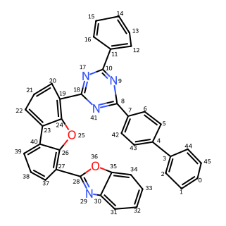 c1ccc(-c2ccc(-c3nc(-c4ccccc4)nc(-c4cccc5c4oc4c(-c6nc7ccccc7o6)cccc45)n3)cc2)cc1